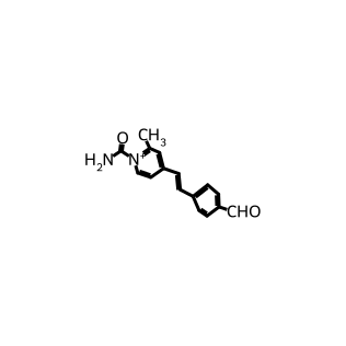 Cc1cc(C=Cc2ccc(C=O)cc2)cc[n+]1C(N)=O